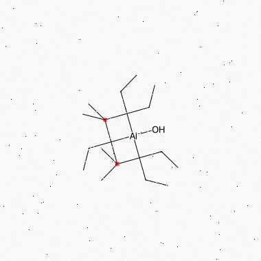 CC[C](CC)(CC)[Al-]([OH])([C](CC)(CC)CC)[C](CC)(CC)CC